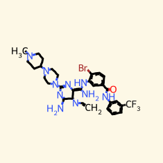 C=C/N=C1/C(N)=NC(N2CCN(C3CCN(C)CC3)CC2)=N/C1=C(/N)Nc1cc(C(=O)Nc2cccc(C(F)(F)F)c2)ccc1Br